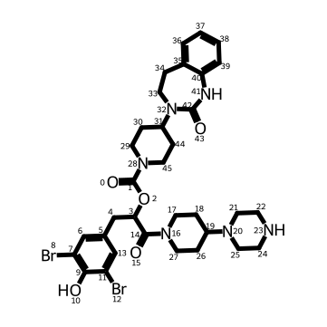 O=C(OC(Cc1cc(Br)c(O)c(Br)c1)C(=O)N1CCC(N2CCNCC2)CC1)N1CCC(N2CCc3ccccc3NC2=O)CC1